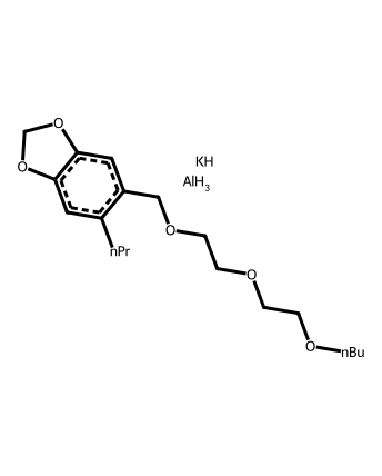 CCCCOCCOCCOCc1cc2c(cc1CCC)OCO2.[AlH3].[KH]